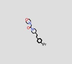 CC(C)c1ccc(C=CC2CCN(C(=O)CN3CCOCC3)CC2)cc1